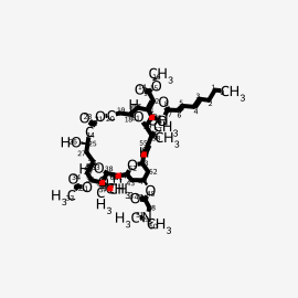 CCC/C=C/C=C/C(=O)OC1/C(=C/C(=O)OC)C[C@H]2CCOC(=O)C[C@H](O)C[C@@H]3C[C@H](OC(C)=O)C(C)(C)[C@](OC)(C[C@@H]4C[C@H](OC(=O)CN(C)C)C[C@H](/C=C/C(C)(C)[C@]1(O)O2)O4)O3